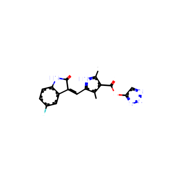 Cc1[nH]c(/C=C2\C(=O)Nc3ccc(F)cc32)c(C)c1C(=O)Oc1cnn[nH]1